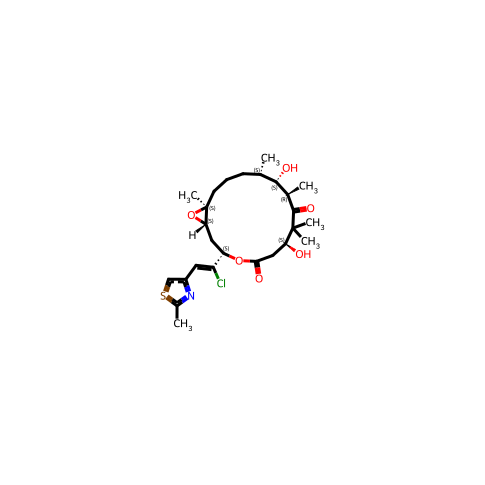 Cc1nc(C=C(Cl)[C@@H]2C[C@@H]3O[C@@]3(C)CCC[C@H](C)[C@H](O)[C@@H](C)C(=O)C(C)(C)[C@@H](O)CC(=O)O2)cs1